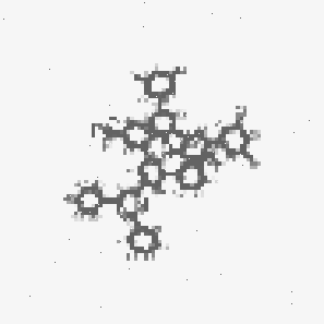 Cc1cc(C)cc(-c2ccc3c(c2)c2cc(-c4cc(C)cc(C)c4)ccc2n3-c2c(-c3cccc(C(F)(F)F)c3)cc(-c3cc(-c4ccccc4)nc(-c4ccccc4)n3)cc2-c2cccc(C(F)(F)F)c2)c1